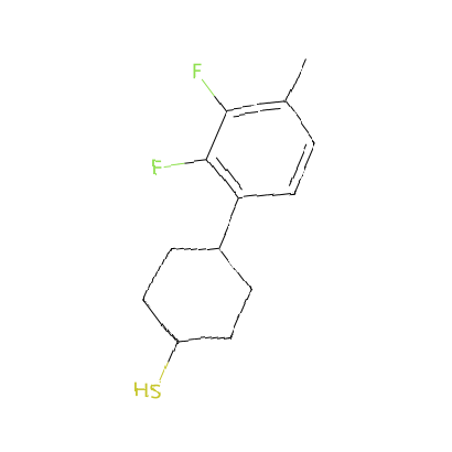 Cc1ccc(C2CCC(S)CC2)c(F)c1F